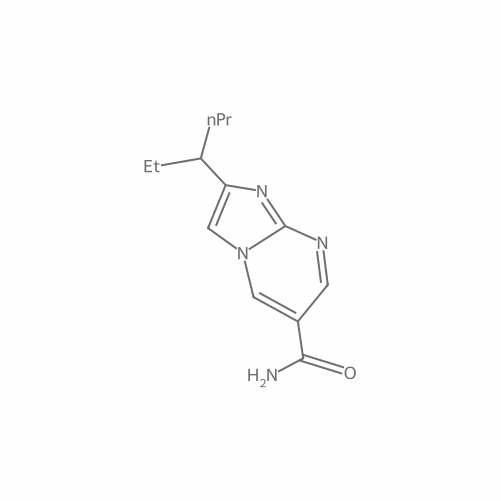 CCCC(CC)c1cn2cc(C(N)=O)cnc2n1